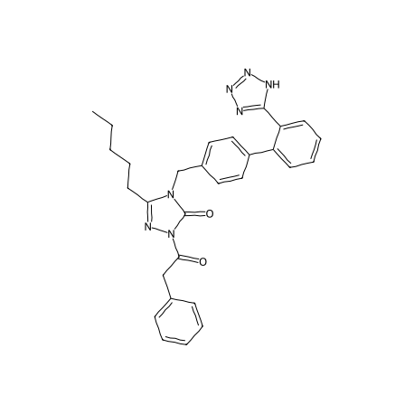 CCCCCc1nn(C(=O)Cc2ccccc2)c(=O)n1Cc1ccc(-c2ccccc2-c2nnn[nH]2)cc1